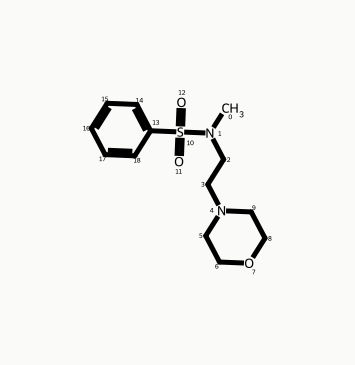 CN(CCN1CCOCC1)S(=O)(=O)c1ccccc1